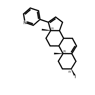 C[C@]12CC[C@H](I)CC1=CCC1C2CC[C@]2(C)C(c3cccnc3)=CCC12